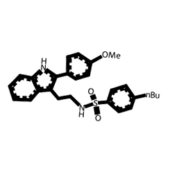 CCCCc1ccc(S(=O)(=O)NCCc2c(-c3ccc(OC)cc3)[nH]c3ccccc23)cc1